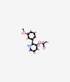 COc1cccc(-c2ncccc2OC(C)=O)c1